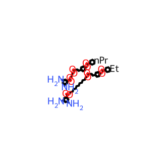 CCC1CCC(C(=O)Oc2ccc(C=CC(=O)OCCCCCCCCCCCOC(=O)c3cc(N)cc(N)c3)cc2)CC1.CCCC1CCC(C(=O)Oc2ccc(C=CC(=O)OCCOC(=O)c3cc(N)cc(N)c3)cc2)CC1